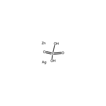 O=S(=O)(O)O.[Ag].[Zn]